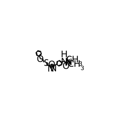 CN(C)C(=O)Nc1ccc(-c2nnc(CSCCOc3ccccc3)o2)cc1